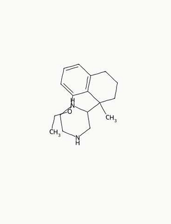 CCOc1cccc2c1C(C)(C1CNCCN1)CCC2